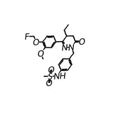 CCC1CC(=O)N(Cc2ccc(NS(C)(=O)=O)cc2)N=C1c1ccc(OCF)c(OC)c1